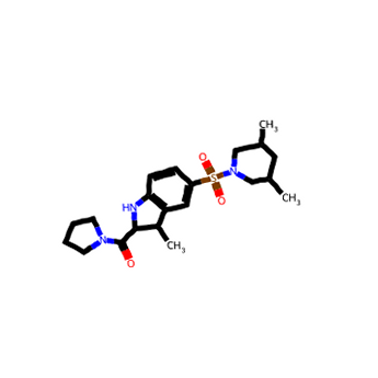 CC1CC(C)CN(S(=O)(=O)c2ccc3c(c2)C(C)C(C(=O)N2CCCC2)N3)C1